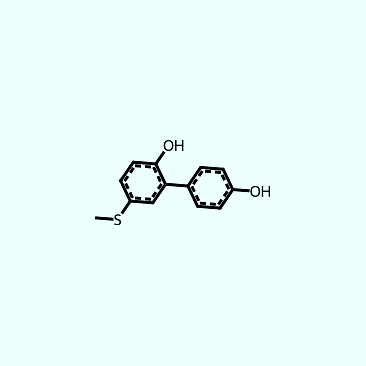 CSc1ccc(O)c(-c2ccc(O)cc2)c1